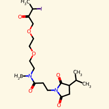 BN(CCOCCOCC(=O)C(C)I)C(=O)CCN1C(=O)CC(C(C)C)C1=O